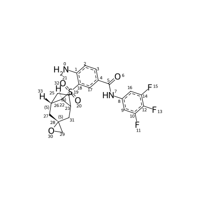 Nc1ccc(C(=O)Nc2cc(F)c(F)c(F)c2)cc1S(=O)(=O)[C@H]1C2CC[C@H]1C[C@]1(CO1)C2